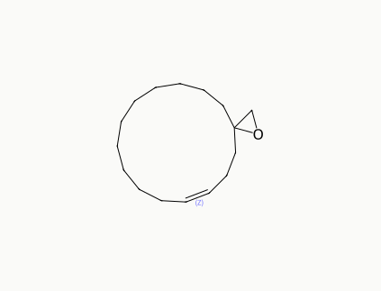 C1=C\CCC2(CCCCCCCCCC/1)CO2